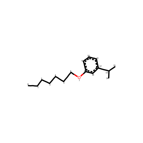 CCCCCCCOc1cccc(C(C)C)c1